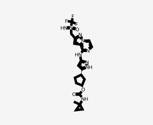 CC1(NC(=O)O[C@@H]2CC[C@H](c3cc(Nc4nccn5nc(CS(=N)(=O)C(F)(F)F)cc45)n[nH]3)C2)CC1